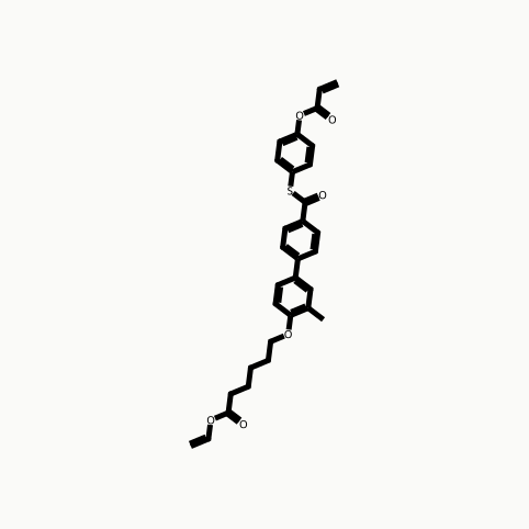 C=COC(=O)CCCCCOc1ccc(-c2ccc(C(=O)Sc3ccc(OC(=O)C=C)cc3)cc2)cc1C